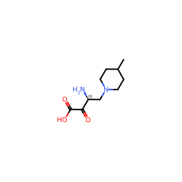 CC1CCN(C[C@H](N)C(=O)C(=O)O)CC1